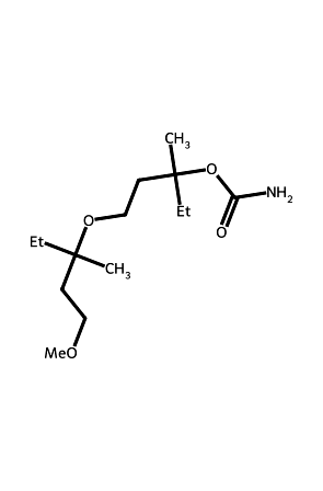 CCC(C)(CCOC)OCCC(C)(CC)OC(N)=O